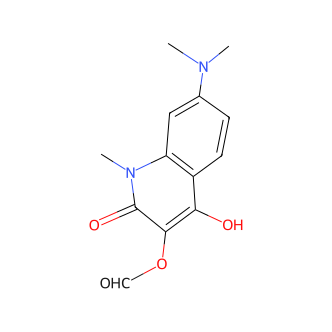 CN(C)c1ccc2c(O)c(OC=O)c(=O)n(C)c2c1